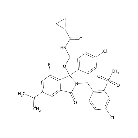 C=C(C)c1cc(F)c2c(c1)C(=O)N(Cc1ccc(Cl)cc1S(C)(=O)=O)C2(OCNC(=O)C1CC1)c1ccc(Cl)cc1